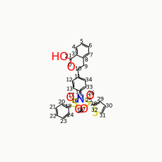 O=C(O)c1ccccc1CCc1ccc(N(S(=O)(=O)c2ccccc2)S(=O)(=O)c2cccs2)cc1